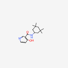 CC1(C)CC(NC(=O)c2cnccc2O)CC(C)(C)C1